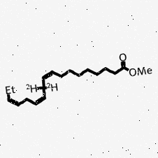 [2H]C([2H])(/C=C\C/C=C\CC)/C=C\CCCCCCCC(=O)OC